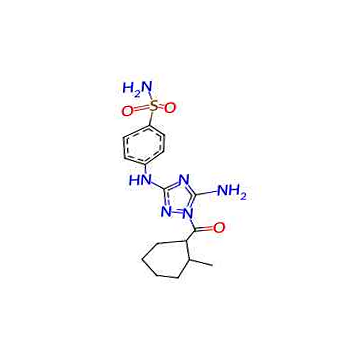 CC1CCCCC1C(=O)n1nc(Nc2ccc(S(N)(=O)=O)cc2)nc1N